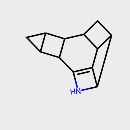 C1C2C1C1C3CC4C5NC(=C5C43)C21